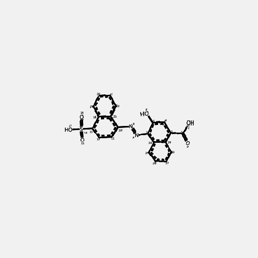 O=C(O)c1cc(O)c(/N=N/c2ccc(S(=O)(=O)O)c3ccccc23)c2ccccc12